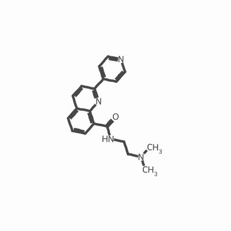 CN(C)CCNC(=O)c1cccc2ccc(-c3ccncc3)nc12